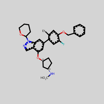 CCc1cc(OCc2ccccc2)c(F)cc1-c1cc(O[C@H]2CC[C@H](NC(=O)O)C2)c2cnn(C3CCCCO3)c2c1